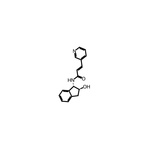 O=C(/C=C/c1cccnc1)N[C@H]1c2ccccc2C[C@@H]1O